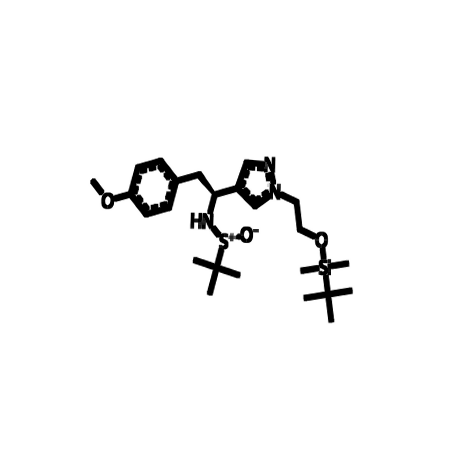 COc1ccc(C[C@H](N[S@+]([O-])C(C)(C)C)c2cnn(CCO[Si](C)(C)C(C)(C)C)c2)cc1